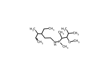 C=CC(C)C(CC)CCNP(C)C(C)C(OC)C(C)C